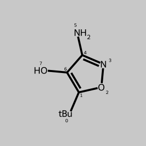 CC(C)(C)c1onc(N)c1O